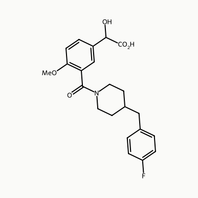 COc1ccc(C(O)C(=O)O)cc1C(=O)N1CCC(Cc2ccc(F)cc2)CC1